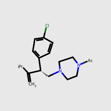 C=C(C(C)C)[C@@H](CN1CCN(C(C)=O)CC1)c1ccc(Cl)cc1